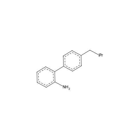 CC(C)Cc1ccc(-c2ccccc2N)cc1